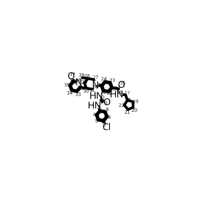 O=C(Nc1ccc(Cl)cc1)Nc1cc(C(=O)NCC2CCCC2)ccc1N1CC2CC(C1)c1cccc(=O)n1C2